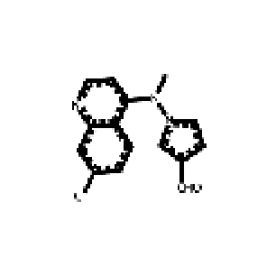 CN(c1ccnc2cc(Cl)ccc12)n1ccc(C=O)c1